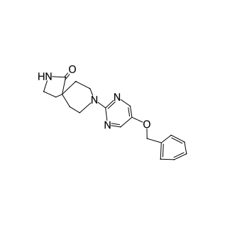 O=C1NCCC12CCN(c1ncc(OCc3ccccc3)cn1)CC2